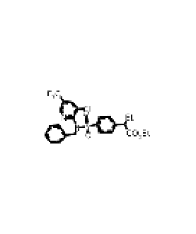 CCOC(=O)C(CC)c1ccc(S(=O)(=O)N(Cc2ccccc2)c2ncc(C(F)(F)F)cc2Cl)cc1